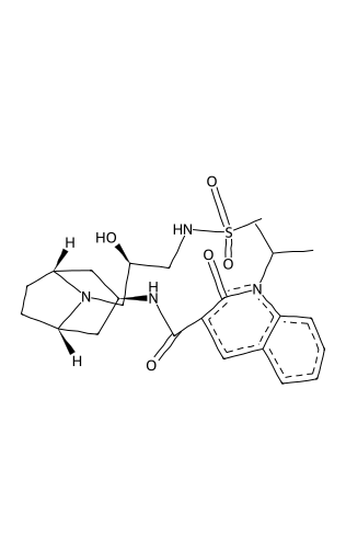 CC(C)n1c(=O)c(C(=O)N[C@@H]2C[C@H]3CC[C@@H](C2)N3C[C@@H](O)CNS(C)(=O)=O)cc2ccccc21